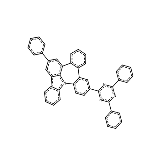 c1ccc(-c2cc3c4c(c2)c2ccccc2n4-c2ccc(-c4nc(-c5ccccc5)nc(-c5ccccc5)n4)cc2-c2ccccc2-3)cc1